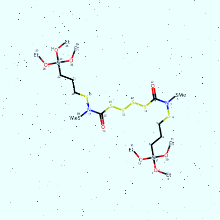 CCO[Si](CCCSN(SC)C(=O)SSSSC(=O)N(SC)SCCC[Si](OCC)(OCC)OCC)(OCC)OCC